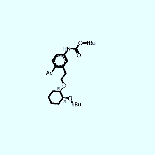 CCCCO[C@H]1CCCC[C@H]1OCCc1cc(NC(=O)OC(C)(C)C)ccc1C(C)=O